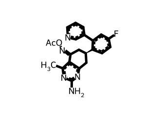 CC(=O)O/N=C1\C[C@@H](c2ccc(F)cc2-c2cccnc2)Cc2nc(N)nc(C)c21